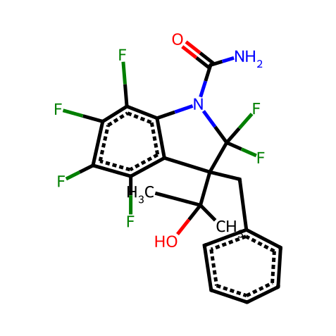 CC(C)(O)C1(Cc2ccccc2)c2c(F)c(F)c(F)c(F)c2N(C(N)=O)C1(F)F